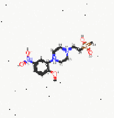 COc1ccc([N+](=O)[O-])cc1N1CCN(CCS(C)(=O)=O)CC1